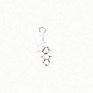 C[N+]1(CCCNc2cc(O)c3c(c2O)C(=O)c2ccccc2C3=O)CCCCC1